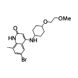 COCCOC1CCC(Nc2cc(=O)[nH]c3c(C)cc(Br)cc23)CC1